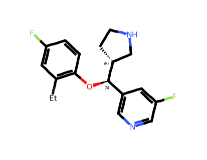 CCc1cc(F)ccc1O[C@H](c1cncc(F)c1)[C@@H]1CCNC1